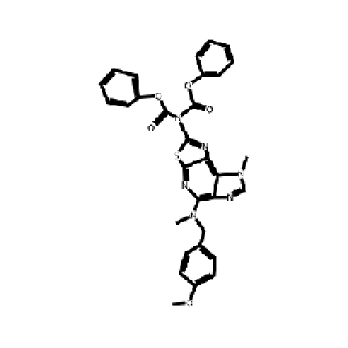 COc1ccc(CN(C)c2nc3sc(N(C(=O)Oc4ccccc4)C(=O)Oc4ccccc4)nc3c3c2ncn3C)cc1